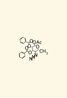 CC(=O)O[C@H]1O[C@H](C)[C@@H](N=[N+]=[N-])[C@H](OC(=O)c2ccccc2)[C@@H]1OC(=O)c1ccccc1